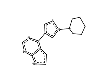 c1nc(-c2cnn([C]3CCCCC3)c2)c2cc[nH]c2n1